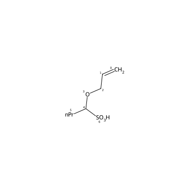 C=CCOC(CCC)S(=O)(=O)O